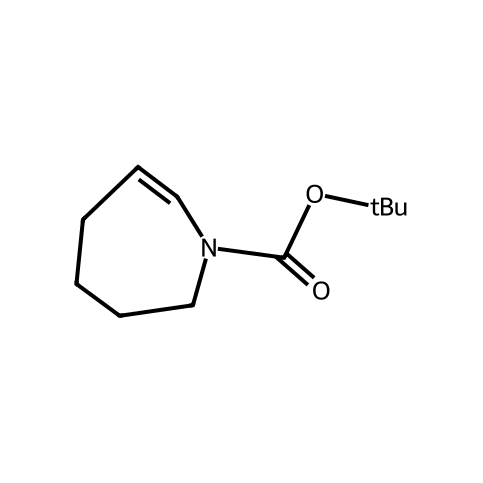 CC(C)(C)OC(=O)N1C=CCCCC1